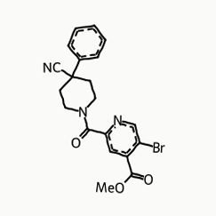 COC(=O)c1cc(C(=O)N2CCC(C#N)(c3ccccc3)CC2)ncc1Br